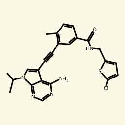 Cc1ccc(C(=O)NCc2ccc(Cl)s2)cc1C#Cc1cn(C(C)C)c2ncnc(N)c12